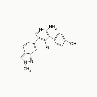 CCc1c(-c2ccc3cn(C)nc3c2)cnc(N)c1-c1ccc(O)cc1